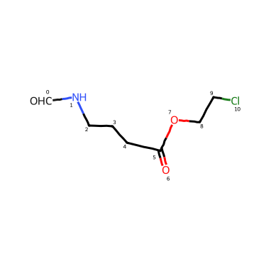 O=CNCCCC(=O)OCCCl